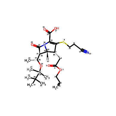 C=CCOC(=O)C[C@H]1C(SCCC#N)=C(C(=O)O)N2C(=O)[C@H]([C@@H](C)O[Si](C)(C)C(C)(C)C)[C@@H]12